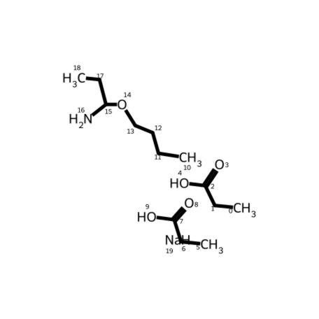 CCC(=O)O.CCC(=O)O.CCCCOC(N)CC.[NaH]